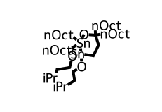 CCCCCCCCC1(CCCCCCCC)C[CH2][Sn]([O]CCC(C)C)([O]CCC(C)C)[Sn]([CH2]CCCCCCC)([CH2]CCCCCCC)[O]1